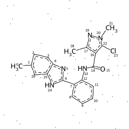 Cc1ccc2nc(-c3ccccc3NC(=O)c3c(C)nn(C)c3Cl)[nH]c2c1